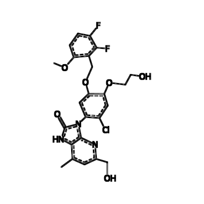 COc1ccc(F)c(F)c1COc1cc(-n2c(=O)[nH]c3c(C)cc(CO)nc32)c(Cl)cc1OCCO